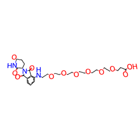 O=C(O)CCOCCOCCOCCOCCOCCOCCNc1cccc2c1C(=O)N(C1CCC(=O)NC1=O)C2=O